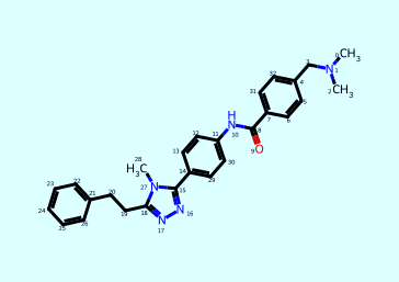 CN(C)Cc1ccc(C(=O)Nc2ccc(-c3nnc(CCc4ccccc4)n3C)cc2)cc1